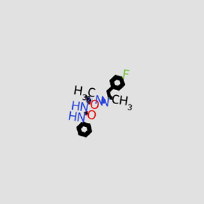 C/C=C(/NC(=O)Nc1ccccc1)ON=NC(C)Cc1ccc(F)cc1